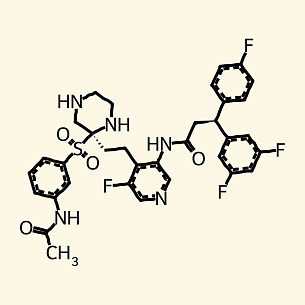 CC(=O)Nc1cccc(S(=O)(=O)[C@@]2(CCc3c(F)cncc3NC(=O)C[C@@H](c3ccc(F)cc3)c3cc(F)cc(F)c3)CNCCN2)c1